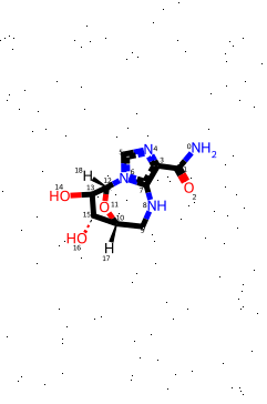 NC(=O)c1ncn2c1NC[C@H]1O[C@@H]2C(O)[C@H]1O